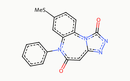 CSc1ccc2c(c1)n(-c1ccccc1)c(=O)cc1nnc(=O)n2-1